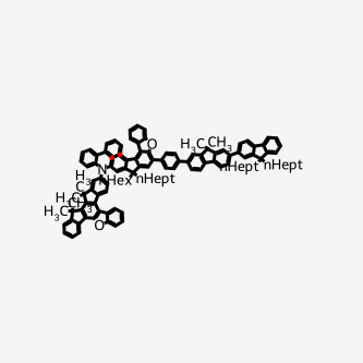 CCCCCCCC1(CCCCCCC)c2ccccc2-c2ccc(-c3ccc4c(c3)C(C)(C)c3cc(-c5ccc(-c6cc7c(c8c6oc6ccccc68)-c6ccc(N(c8ccc9c(c8)C(C)(C)c8c%10c(c%11oc%12ccccc%12c%11c8-9)-c8ccccc8C%10(C)C)c8ccccc8-c8ccccc8)cc6C7(CCCCCC)CCCCCCC)cc5)ccc3-4)cc21